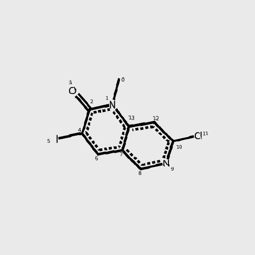 Cn1c(=O)c(I)cc2cnc(Cl)cc21